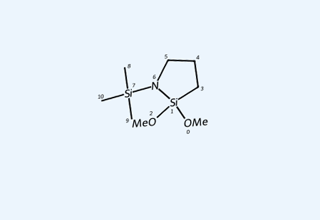 CO[Si]1(OC)CCCN1[Si](C)(C)C